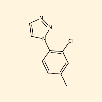 Cc1ccc(-n2ccnn2)c(Cl)c1